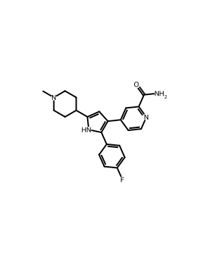 CN1CCC(c2cc(-c3ccnc(C(N)=O)c3)c(-c3ccc(F)cc3)[nH]2)CC1